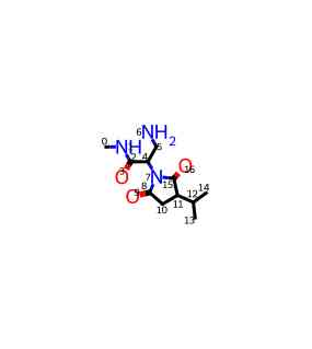 CNC(=O)C(CN)N1C(=O)CC(C(C)C)C1=O